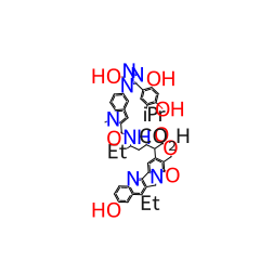 CCc1c2c(nc3ccc(O)cc13)-c1cc3c(c(=O)n1C2)COC(=O)C3C(CC(CC)NC(=O)c1cc2cc(-n3c(O)nnc3-c3cc(C(C)C)c(O)cc3O)ccc2n1C)C(=O)O